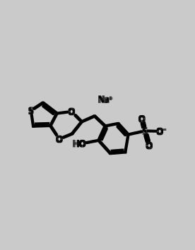 O=S(=O)([O-])c1ccc(O)c(CC2COc3cscc3O2)c1.[Na+]